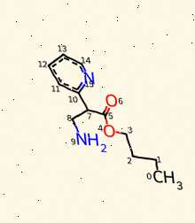 CCCCOC(=O)C(CN)c1ccccn1